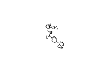 Cn1nccc1CNC(=O)c1ccc(-c2nccc3[nH]ccc23)cc1